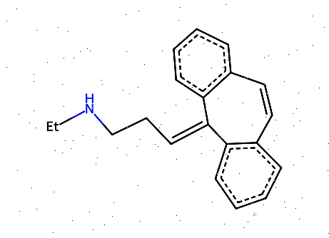 CCNCCC=C1c2ccccc2C=Cc2ccccc21